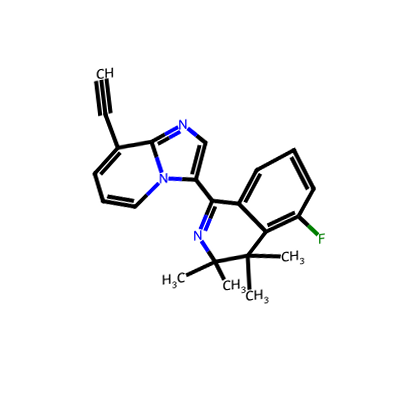 C#Cc1cccn2c(C3=NC(C)(C)C(C)(C)c4c(F)cccc43)cnc12